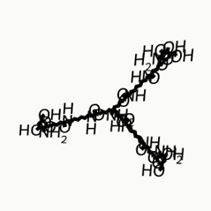 NC1C(O)CC(CO)OC1OCCCC(=O)NCCCCCCNC(=O)OCCCC(N)(CCCOC(=O)NCCCCCCNC(=O)CCCOC1OC(CO)CC(O)C1N)CCCOC(=O)NCCCCCCNC(=O)CCCOC1OC(CO)C(O)C(O)C1N